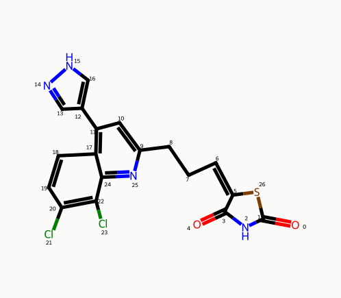 O=C1NC(=O)/C(=C\CCc2cc(-c3cn[nH]c3)c3ccc(Cl)c(Cl)c3n2)S1